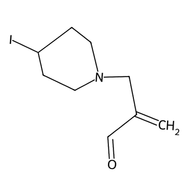 C=C(C=O)CN1CCC(I)CC1